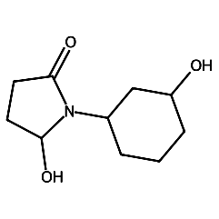 O=C1CCC(O)N1C1CCCC(O)C1